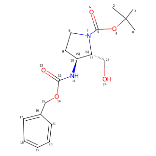 CC(C)(C)OC(=O)N1CC[C@H](NC(=O)OCc2ccccc2)[C@H]1CO